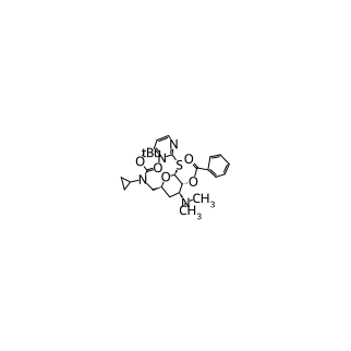 CN(C)[C@H]1C[C@@H](CN(C(=O)OC(C)(C)C)C2CC2)O[C@@H](Sc2ncccn2)[C@@H]1OC(=O)c1ccccc1